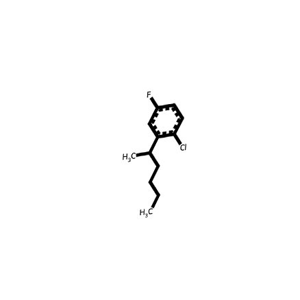 CCCC[C](C)c1cc(F)ccc1Cl